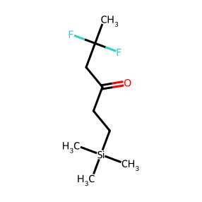 CC(F)(F)CC(=O)CC[Si](C)(C)C